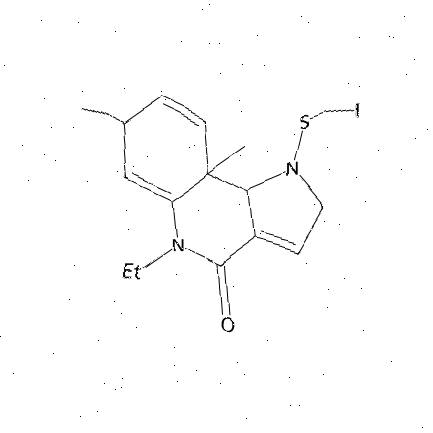 CCN1C(=O)C2=CCN(SI)C2C2(C)C=CC(C)C=C12